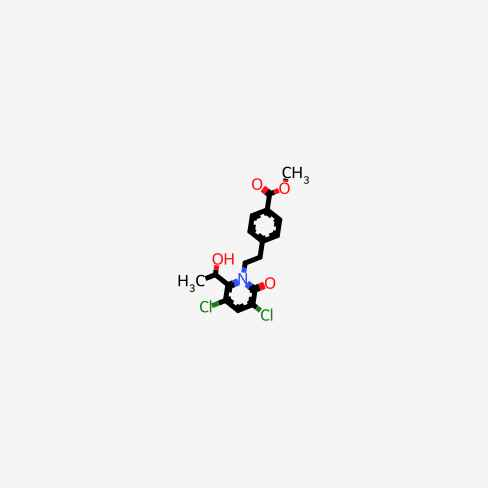 COC(=O)c1ccc(CCn2c(C(C)O)c(Cl)cc(Cl)c2=O)cc1